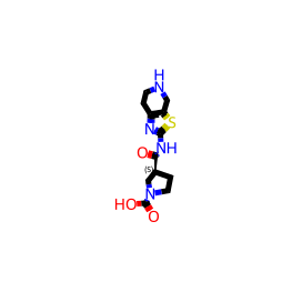 O=C(Nc1nc2c(s1)CNCC2)[C@H]1CCN(C(=O)O)C1